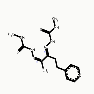 CNC(=S)N/N=C(C)\C(CCc1ccncc1)=N\NC(=S)NC